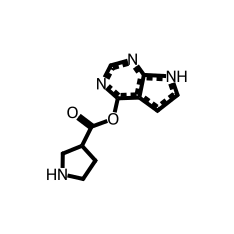 O=C(Oc1ncnc2[nH]ccc12)C1CCNC1